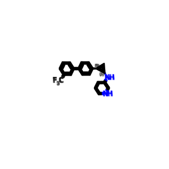 FC(F)(F)c1cccc(-c2ccc([C@H]3C[C@@H]3NC3CCCNC3)cc2)c1